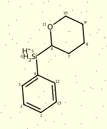 [H+].c1ccc([SiH2]C2CCCCO2)cc1